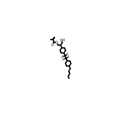 C=C(C)C(=O)OCC(CO)C1CCC(C(F)(F)C(F)(F)C2CCC(CCCCC)CC2)CC1